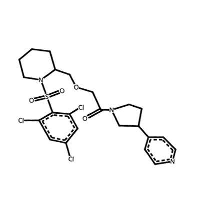 O=C(COCC1CCCCN1S(=O)(=O)c1c(Cl)cc(Cl)cc1Cl)N1CCC(c2ccncc2)C1